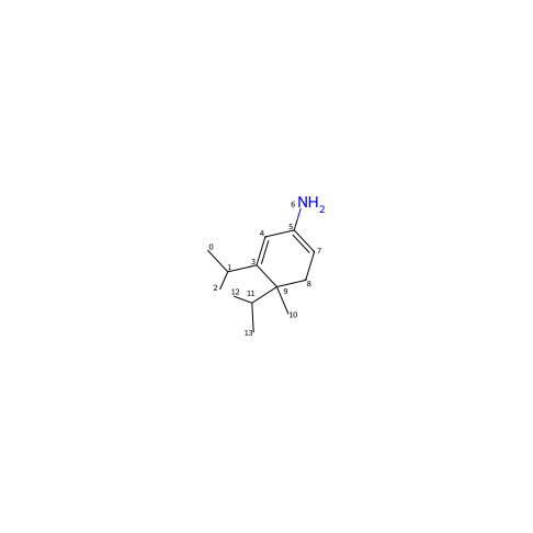 CC(C)C1=CC(N)=CCC1(C)C(C)C